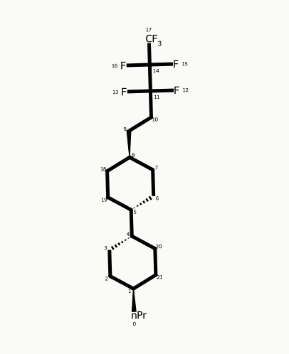 CCC[C@H]1CC[C@H]([C@H]2CC[C@H](CCC(F)(F)C(F)(F)C(F)(F)F)CC2)CC1